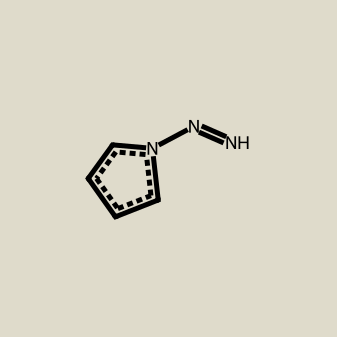 N=Nn1cccc1